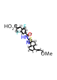 COCC#Cc1cccc2c1CCc1sc(NC(=O)c3cc(F)c(/C=C(\C)C(=O)O)c(F)c3)nc1-2